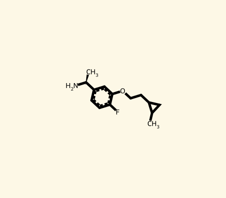 CC1CC1CCOc1cc([C@H](C)N)ccc1F